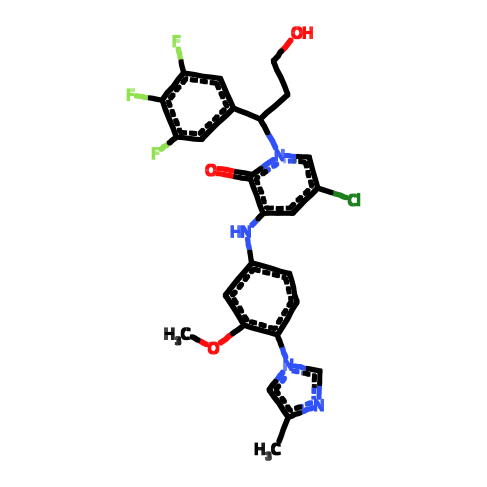 COc1cc(Nc2cc(Cl)cn(C(CCO)c3cc(F)c(F)c(F)c3)c2=O)ccc1-n1cnc(C)c1